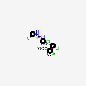 O=C([O-])c1ccc(Cl)cc1.O=C([O-])c1ccc(Cl)cc1.S=C(Nc1cccc(Cl)c1)Nc1cccc(Cl)c1.[Cu+2]